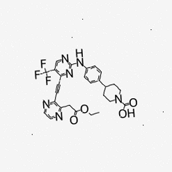 CCOC(=O)Cc1nccnc1C#Cc1nc(Nc2ccc(C3CCN(C(=O)O)CC3)cc2)ncc1C(F)(F)F